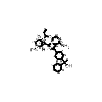 C=CC(=O)N1C(c2nc(-c3ccc(C(C)(O)c4ccccc4)cc3)c3c(N)nccn23)[C@@H]2C[C@H]1CN2C(C)C